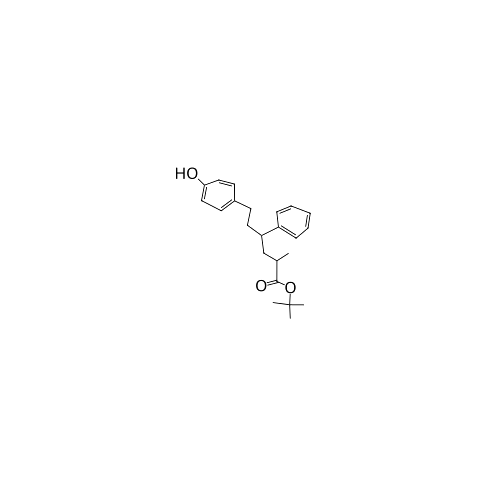 CC(CC(CCc1ccc(O)cc1)c1ccccc1)C(=O)OC(C)(C)C